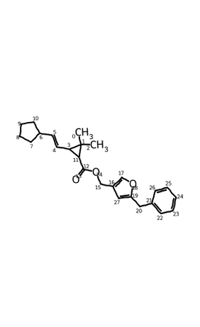 CC1(C)C(/C=C/C2CCCC2)C1C(=O)OCc1coc(Cc2ccccc2)c1